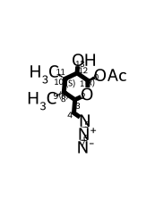 CC(=O)O[C@H]1OC(CN=[N+]=[N-])[C@H](C)[C@H](C)C1O